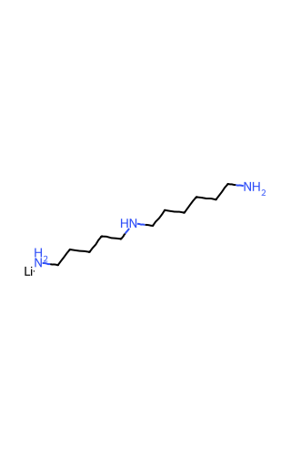 NCCCCCCNCCCCCN.[Li]